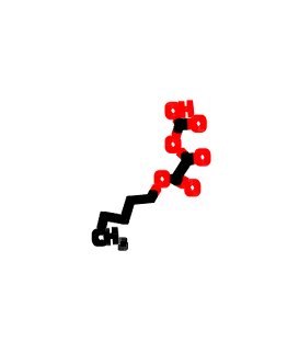 CCCCCOC(=O)C(=O)OC(=O)O